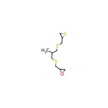 CC(CSCC1CO1)CSCC1CS1